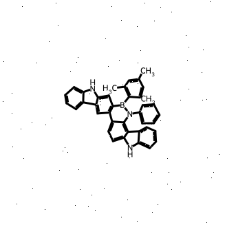 Cc1cc(C)c(B2c3cc4[nH]c5ccccc5c4cc3-c3ccc4[nH]c5ccccc5c4c3N2c2ccccc2)c(C)c1